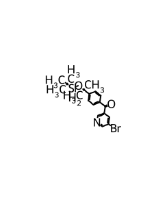 CC(C)(C)[SiH2]OC(C)(C)c1ccc(C(=O)c2cncc(Br)c2)cc1